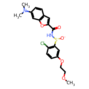 COCCOc1ccc(Cl)c([S+]([O-])NC(=O)c2cc3ccc(N(C)C)cc3o2)c1